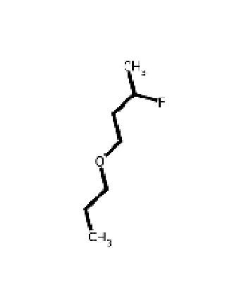 CCCOCCC(C)F